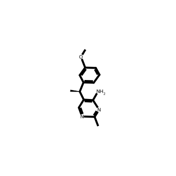 COc1cccc([C@H](C)c2cnc(C)nc2N)c1